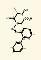 C[C@H](CS)C(=O)N(CC(=O)O)/N=C\c1ccccc1-c1ccccc1